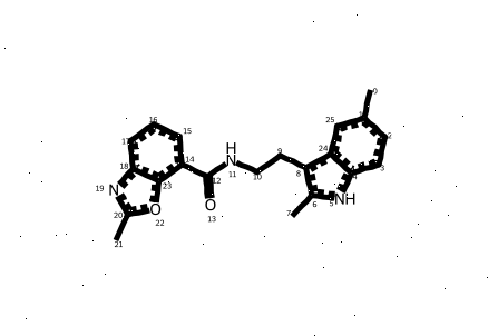 Cc1ccc2[nH]c(C)c(CCNC(=O)c3cccc4nc(C)oc34)c2c1